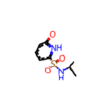 CC(C)NS(=O)(=O)c1cccc(=O)[nH]1